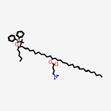 CCCCCC=CCC=CCCCCCCCCC(CCCCCCCCC=CCC(CCCCC)O[Si](c1ccccc1)(c1ccccc1)C(C)(C)C)OC(=O)CCCN(C)C